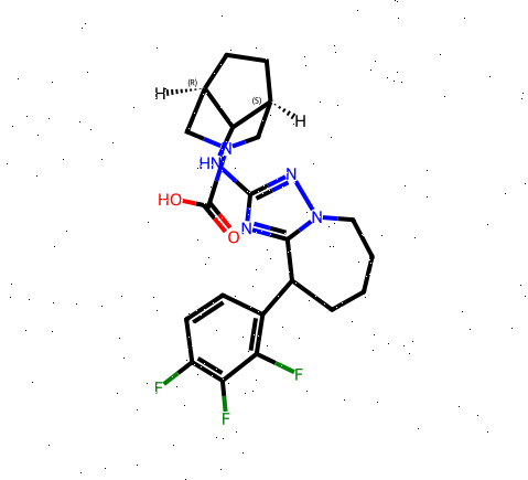 O=C(O)N1C[C@H]2CC[C@@H](C1)C2Nc1nc2n(n1)CCCCC2c1ccc(F)c(F)c1F